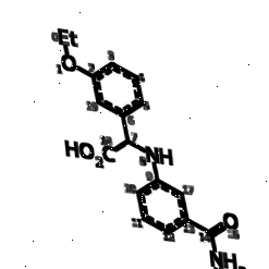 CCOc1cccc(C(Nc2cccc(C(N)=O)c2)C(=O)O)c1